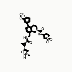 CN1C=C([C@@H]2C[C@H]2C(=O)NCc2ccc(-c3cccc(OC(F)(F)F)c3)c3c2CN(C(=O)NC2CCS(=O)(=O)C2)CC3)ON1